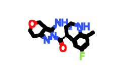 Cc1cc(F)cc2c1NCC[C@H]2C(=O)n1nc2c(c1N)COCC2